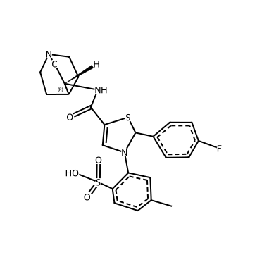 Cc1ccc(S(=O)(=O)O)c(N2C=C(C(=O)N[C@H]3CN4CCC3CC4)SC2c2ccc(F)cc2)c1